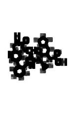 CN1C(=O)NCc2ncc(-c3ccccc3-c3csc(N(C(=O)C(CC(=O)O)CC4CCCC4)C4CC4)n3)cc21